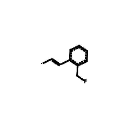 [CH2]/C=C/c1ccccc1CF